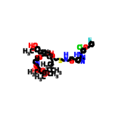 CO[C@H]1C[C@@H](C)C/C(C)=C/[C@@H](CCCSCCNCc2ccc(-c3ccc4ncnc(Nc5ccc(OCc6cccc(F)c6)c(Cl)c5)c4c3)o2)C(=O)C[C@H](O)[C@@H](C)[C@@H](/C(C)=C/[C@@H]2CC[C@@H](O)[C@H](OC)C2)OC(=O)[C@@H]2CCCCN2C(=O)C(=O)[C@]2(O)O[C@H]1[C@@H](OC)C[C@H]2C